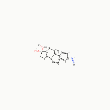 CO[C@]1(O)CCC2C3C=CC4=CC(N=[N])C=C[C@]4(C)C3CC[C@@]21C